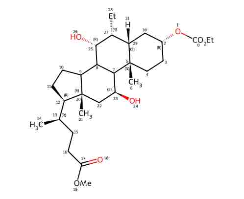 CCOC(=O)O[C@@H]1CC[C@]2(C)C3C(C4CC[C@H]([C@H](C)CCC(=O)OC)[C@@]4(C)C[C@@H]3O)[C@H](O)[C@H](CC)[C@@H]2C1